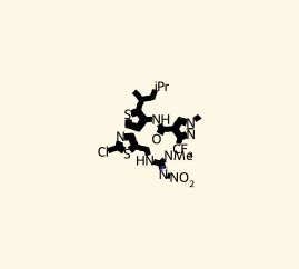 CC(C)CC(C)c1sccc1NC(=O)c1cn(C)nc1C(F)(F)F.CN/C(=N\[N+](=O)[O-])NCc1cnc(Cl)s1